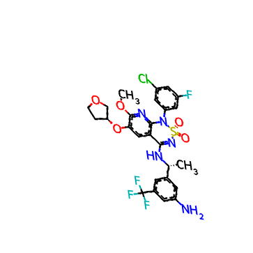 COc1nc2c(cc1O[C@H]1CCOC1)C(N[C@H](C)c1cc(N)cc(C(F)(F)F)c1)=NS(=O)(=O)N2c1cc(F)cc(Cl)c1